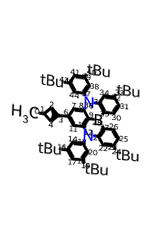 CC1C2CC1C2c1cc2c3c(c1)N(c1cc(C(C)(C)C)cc(C(C)(C)C)c1)c1cc(C(C)(C)C)ccc1B3c1ccc(C(C)(C)C)cc1N2c1cc(C(C)(C)C)cc(C(C)(C)C)c1